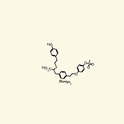 CC(C)(C)N.CS(=O)(=O)Oc1ccc(OCCc2ccc(CC(SCCc3ccc(O)cc3)C(=O)O)cc2)cc1